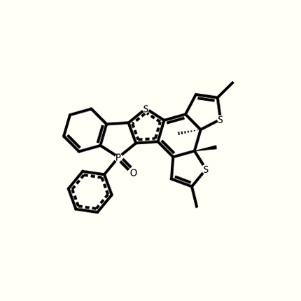 CC1=CC2=c3sc4c(c3=C3C=C(C)S[C@@]3(C)[C@]2(C)S1)P(=O)(c1ccccc1)C1=C4CCC=C1